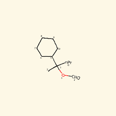 CCCC(C)(OC=O)C1CCCCC1